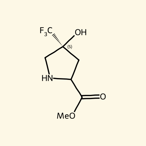 COC(=O)C1C[C@@](O)(C(F)(F)F)CN1